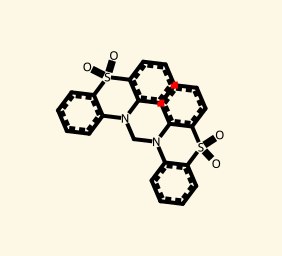 O=S1(=O)c2ccccc2N(CN2c3ccccc3S(=O)(=O)c3ccccc32)c2ccccc21